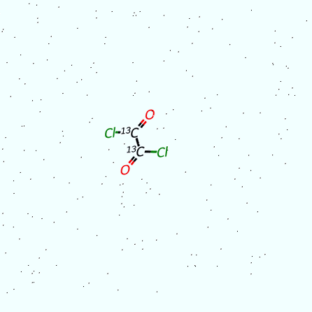 O=[13C](Cl)[13C](=O)Cl